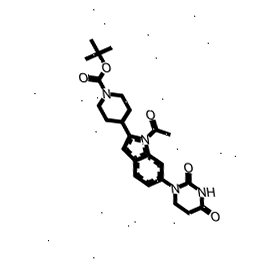 CC(=O)n1c(C2CCN(C(=O)OC(C)(C)C)CC2)cc2ccc(N3CCC(=O)NC3=O)cc21